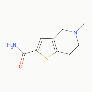 CN1CCc2sc(C(N)=O)cc2C1